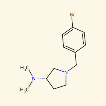 CN(C)[C@H]1CCN(Cc2ccc(Br)cc2)C1